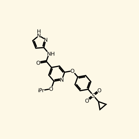 CC(C)Oc1cc(C(=O)Nc2cc[nH]n2)cc(Oc2ccc(S(=O)(=O)C3CC3)cc2)n1